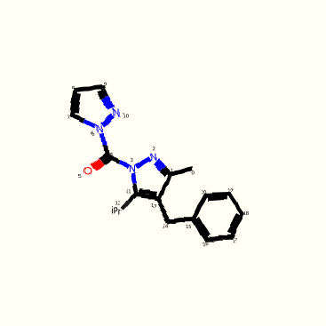 Cc1nn(C(=O)n2cccn2)c(C(C)C)c1Cc1ccccc1